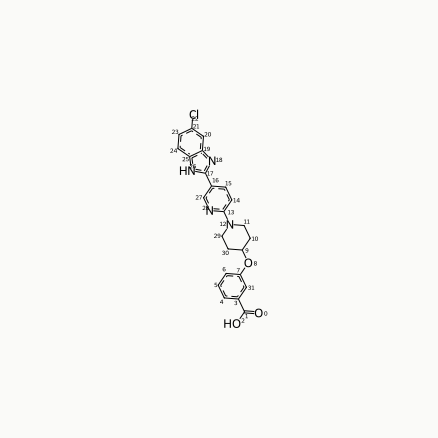 O=C(O)c1cccc(OC2CCN(c3ccc(-c4nc5cc(Cl)ccc5[nH]4)cn3)CC2)c1